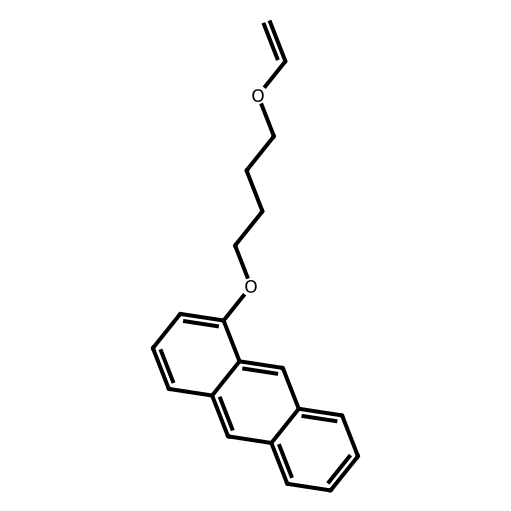 C=COCCCCOc1cccc2cc3ccccc3cc12